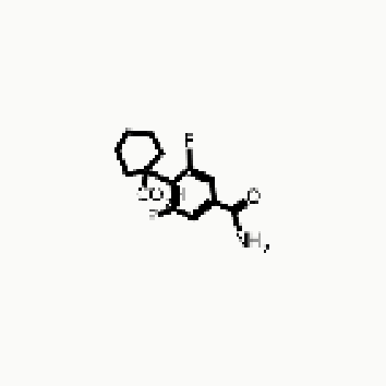 NC(=O)c1cc(F)c(C2(C(=O)O)CCCCC2)c(F)c1